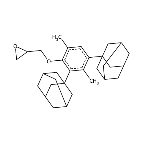 Cc1cc(C23CC4CC(CC(C4)C2)C3)c(C)c(C23CC4CC(CC(C4)C2)C3)c1OCC1CO1